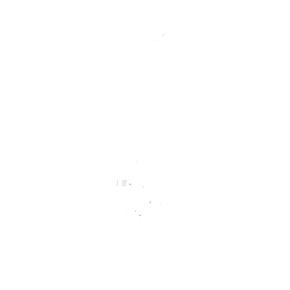 N=C(CC(O)CCCCCOCc1ccccc1)C(=O)NCC1CCOC1